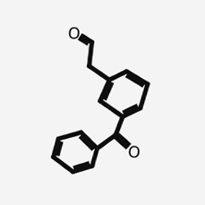 O=CCc1cccc(C(=O)c2ccccc2)c1